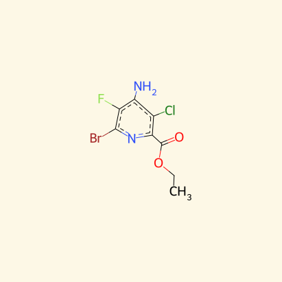 CCOC(=O)c1nc(Br)c(F)c(N)c1Cl